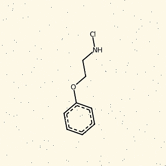 ClNCCOc1ccccc1